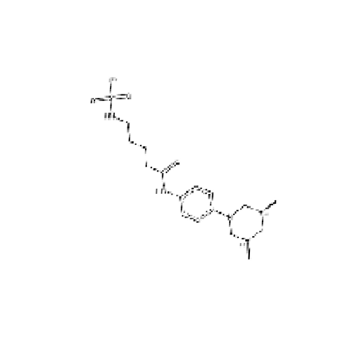 CC(C)S(=O)(=O)NCCCCC(=O)Nc1ccc(N2C[C@H](C)C[C@H](C)C2)cc1